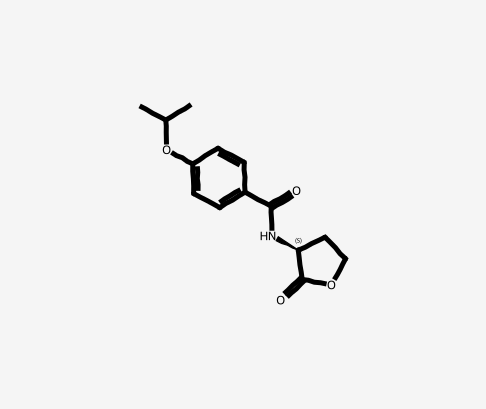 CC(C)Oc1ccc(C(=O)N[C@H]2CCOC2=O)cc1